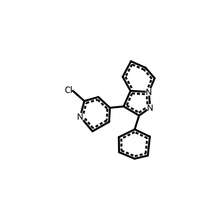 Clc1cc(-c2c(-c3ccccc3)nn3ccccc23)ccn1